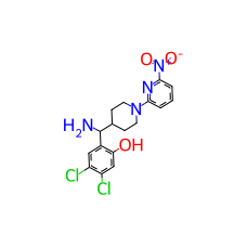 NC(c1cc(Cl)c(Cl)cc1O)C1CCN(c2cccc([N+](=O)[O-])n2)CC1